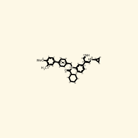 COc1ccc(C23CCC(CN(C(=O)C4CCCCC4)c4cccc(/C(C=N)=C/NC5CC5)c4)(CC2)CC3)cc1C